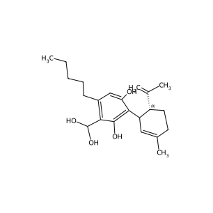 C=C(C)[C@@H]1CCC(C)=CC1c1c(O)cc(CCCCC)c(C(O)O)c1O